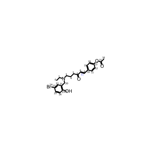 CCN(CCCC(=O)/C=C/c1ccc(OC(C)=O)cc1)Cc1cc(Br)ccc1O